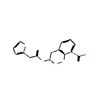 O=C(Cc1cccs1)NC1BOc2c(cccc2C(=O)O)C1